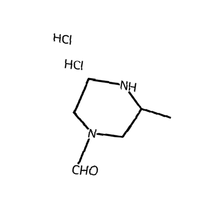 CC1CN(C=O)CCN1.Cl.Cl